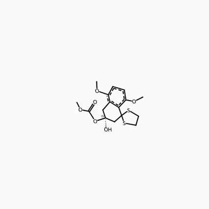 COC(=O)O[C@@]1(O)Cc2c(OC)ccc(OC)c2C2(C1)SCCS2